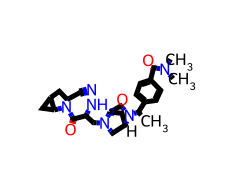 CC(c1ccc(C(=O)N(C)C)cc1)N1C(=O)C2C[C@H]1CN2CC(N)C(=O)N1C(C#N)CC2CC21